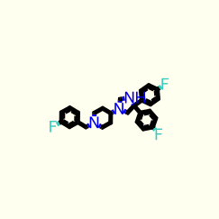 Fc1ccc(C2(c3ccc(F)cc3)CN(C3CCN(Cc4cccc(F)c4)CC3)CN2)cc1